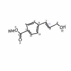 COC(=O)c1ccc(/C=C/CO)cc1